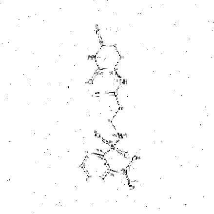 O=C1CC[C@@H](NC(=O)CCNS(=O)(=O)c2ccccc2[N+](=O)[O-])C(=O)N1